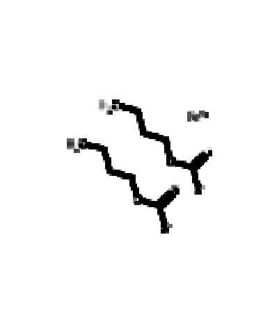 CCCCOC(=S)[S-].CCCCOC(=S)[S-].[Fe+2]